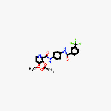 COc1ccnc(C(=O)Nc2ccc(NC(=O)c3cccc(C(F)(F)F)c3)cc2)c1OC(C)=O